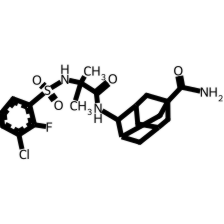 CC(C)(NS(=O)(=O)c1cccc(Cl)c1F)C(=O)NC1C2CC3CC1CC(C(N)=O)(C3)C2